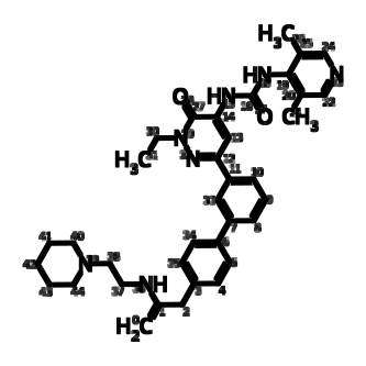 C=C(Cc1ccc(-c2cccc(-c3cc(NC(=O)Nc4c(C)cncc4C)c(=O)n(CC)n3)c2)cc1)NCCN1CCCCC1